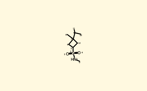 CNS(=O)(=O)C1CC(C)(C(C)C)C1